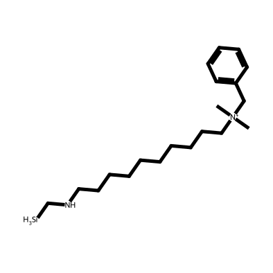 C[N+](C)(CCCCCCCCCCNC[SiH3])Cc1ccccc1